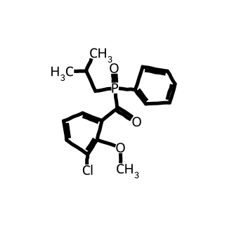 COc1c(Cl)cccc1C(=O)P(=O)(CC(C)C)c1ccccc1